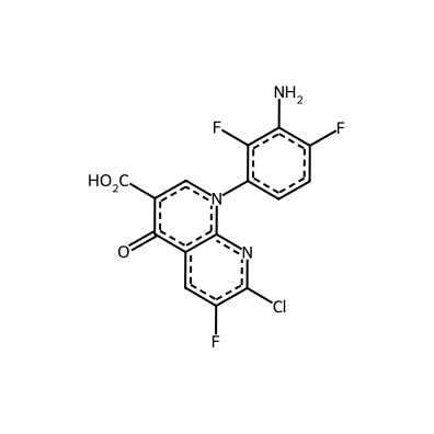 Nc1c(F)ccc(-n2cc(C(=O)O)c(=O)c3cc(F)c(Cl)nc32)c1F